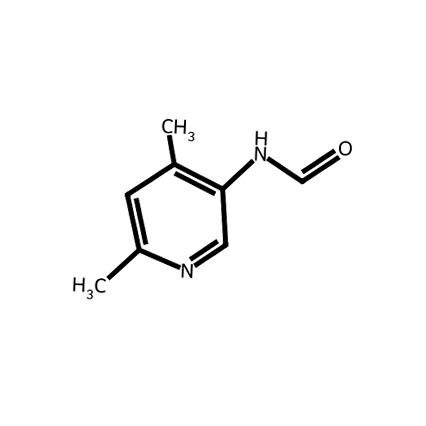 Cc1cc(C)c(NC=O)cn1